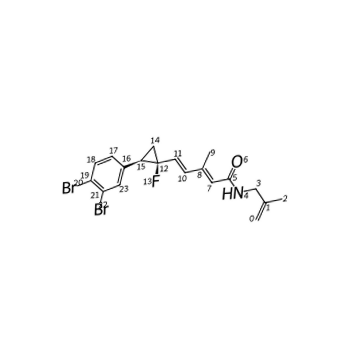 C=C(C)CNC(=O)/C=C(C)/C=C/[C@@]1(F)C[C@@H]1c1ccc(Br)c(Br)c1